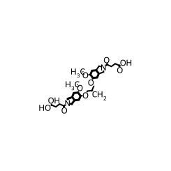 C=C(COc1cc2c(cc1OC)CN(C(=O)CCC(=O)O)C2)COc1cc2cn(C(=O)CCC(O)O)cc2cc1OC